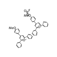 COc1ccc(-c2cc(-c3ccccc3)[o+]c(-c3ccccc3)c2)cc1.COc1ccc(-c2cc(-c3ccccc3)[o+]c(-c3ccccc3)c2)cc1.[O-]B([O-])F